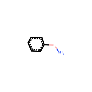 N[B]c1ccccc1